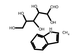 C.O=CC(O)C(O)C(O)C(O)CO.c1ccc2[nH]ccc2c1